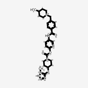 CC1CCN(Cc2ccc(C(=O)Nc3ccc(OC(=O)N4CCC(Sc5nnnn5C)CC4)nc3)cc2)CC1